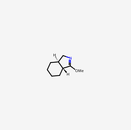 COC1=NC[C@@H]2CCCC[C@@H]12